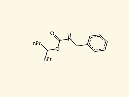 CCCC(CCC)OC(=O)NCc1ccccc1